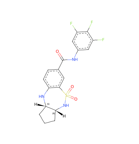 O=C(Nc1cc(F)c(F)c(F)c1)c1ccc2c(c1)S(=O)(=O)N[C@@H]1CCC[C@@H]1N2